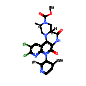 CSc1ccnc(C(C)C)c1-n1c(=O)c2c(c3cc(Cl)c(Cl)nc31)N1C[C@@H](C)N(C(=O)OC(C)(C)C)C[C@@H]1C(=O)N2